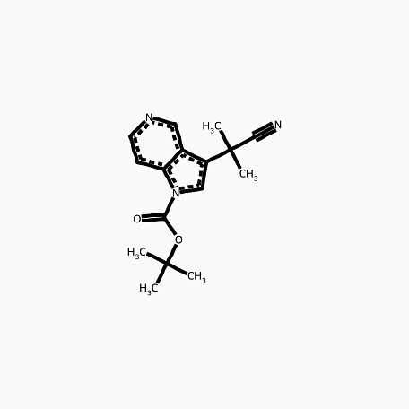 CC(C)(C)OC(=O)n1cc(C(C)(C)C#N)c2cnccc21